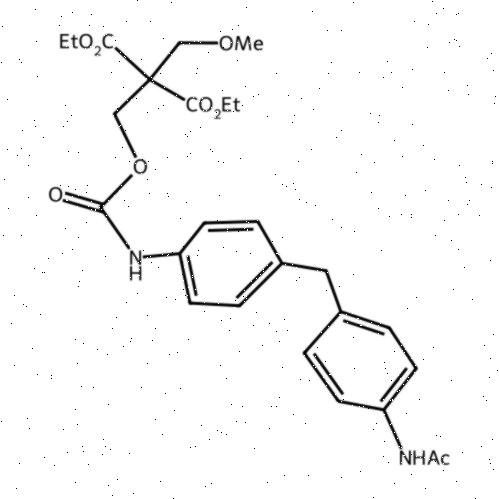 CCOC(=O)C(COC)(COC(=O)Nc1ccc(Cc2ccc(NC(C)=O)cc2)cc1)C(=O)OCC